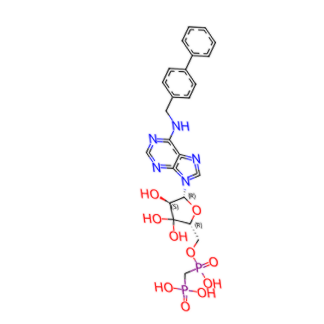 O=P(O)(O)CP(=O)(O)OC[C@H]1O[C@@H](n2cnc3c(NCc4ccc(-c5ccccc5)cc4)ncnc32)[C@H](O)C1(O)O